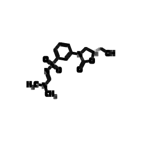 CN(C)C=NS(=O)(=O)c1cccc(N2C[C@H](CO)OC2=O)c1